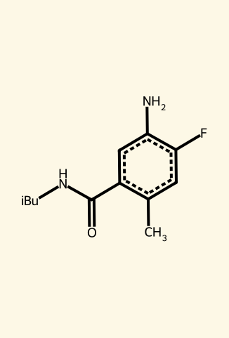 CCC(C)NC(=O)c1cc(N)c(F)cc1C